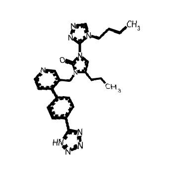 CCCCn1cnnc1-n1cc(CCC)n(Cc2cnccc2-c2ccc(-c3nnn[nH]3)cc2)c1=O